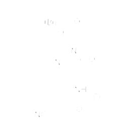 CCC(=O)Nc1cc(C#N)ccc1-c1cc(=O)n(CC(=O)OC(C)(C)C)c(C)n1